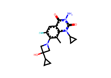 Cc1c(N2CC(O)(C3CC3)C2)c(F)cc2c(=O)n(N)c(=O)n(C3CC3)c12